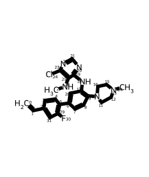 C=Cc1ccc(-c2ccc(N3CCN(C)CC3)c(Nc3ncnc(Cl)c3NC)c2)c(F)c1